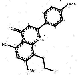 COc1ccc(-c2cc(=O)c3c(O)cc(OC)c(CCC(C)C)c3o2)cc1